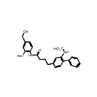 COc1cc(CO)ccc1NC(=O)CCCc1ccc(-c2ccccc2)c(NC(=O)O)c1